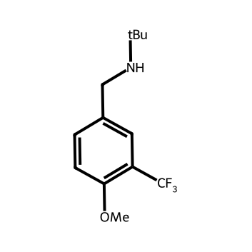 COc1ccc(CNC(C)(C)C)cc1C(F)(F)F